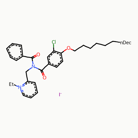 CCCCCCCCCCCCCCCCOc1ccc(C(=O)N(Cc2cccc[n+]2CC)C(=O)c2ccccc2)cc1Cl.[I-]